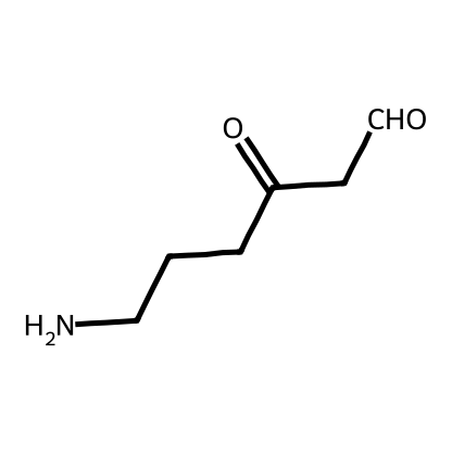 NCCCC(=O)CC=O